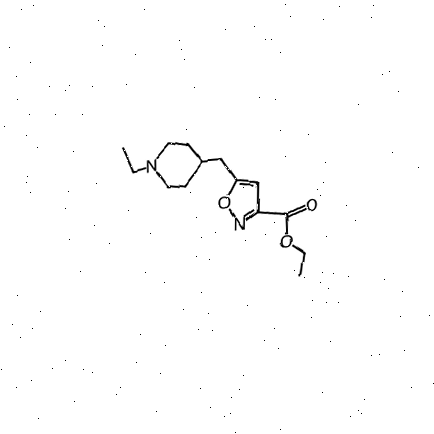 CCOC(=O)c1cc(CC2CCN(CC)CC2)on1